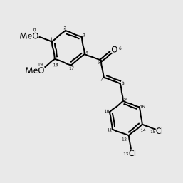 COc1ccc(C(=O)/C=C/c2ccc(Cl)c(Cl)c2)cc1OC